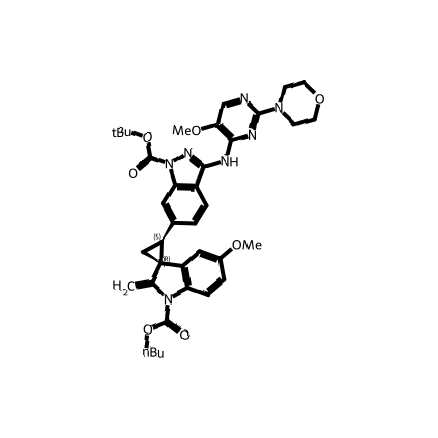 C=C1N(C(=O)OCCCC)c2ccc(OC)cc2[C@]12C[C@H]2c1ccc2c(Nc3nc(N4CCOCC4)ncc3OC)nn(C(=O)OC(C)(C)C)c2c1